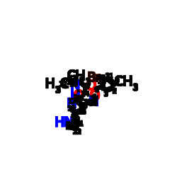 Cc1ccc(C(=O)OC(CNC(C)C)COc2ncc(-c3ccc[nH]3)cc2C#N)c(Br)c1